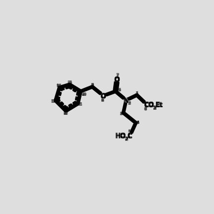 CCOC(=O)CN(CCC(=O)O)C(=O)OCc1ccccc1